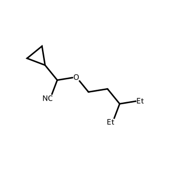 CCC(CC)CCOC(C#N)C1CC1